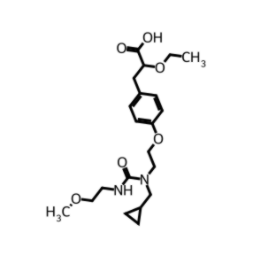 CCOC(Cc1ccc(OCCN(CC2CC2)C(=O)NCCOC)cc1)C(=O)O